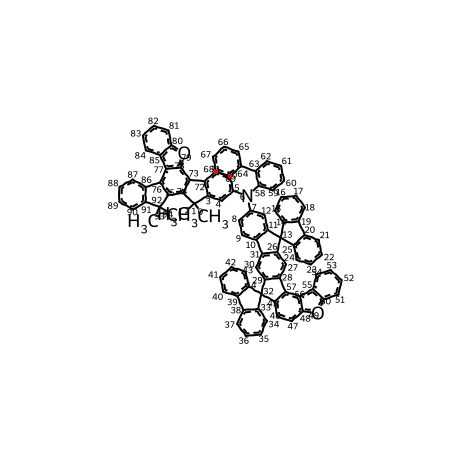 CC1(C)c2cc(N(c3ccc4c(c3)C3(c5ccccc5-c5ccccc53)c3cc5c(cc3-4)C3(c4ccccc4-c4ccccc43)c3ccc4oc6ccccc6c4c3-5)c3ccccc3-c3ccccc3)ccc2-c2c1c1c(c3c2oc2ccccc23)-c2ccccc2C1(C)C